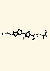 CC(=O)NC[C@H]1CN(c2ccc(-c3ccc4nc(C=NO)cn4c3)c(F)c2)C(=O)O1